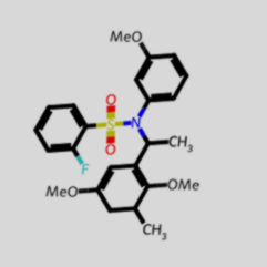 COC1=CC(C(C)N(c2cccc(OC)c2)S(=O)(=O)c2ccccc2F)=C(OC)C(C)C1